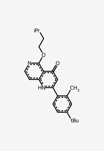 Cc1cc(C(C)(C)C)ccc1-c1cc(=O)c2c(OCCC(C)C)nccc2[nH]1